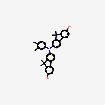 Cc1ccc(N(c2ccc3c(c2)C(C)(C)c2cc(O)ccc2-3)c2ccc3c(c2)C(C)(C)c2cc(O)ccc2-3)cc1C